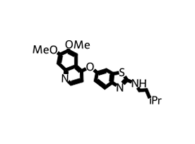 COc1cc2nccc(Oc3ccc4nc(NCCC(C)C)sc4c3)c2cc1OC